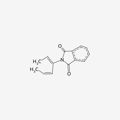 C/C=C\C(=C/C)N1C(=O)c2ccccc2C1=O